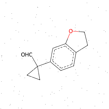 O=CC1(c2ccc3c(c2)OCC3)CC1